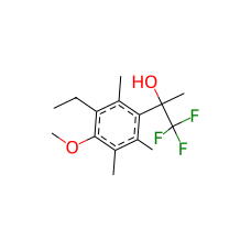 CCc1c(C)c(C(C)(O)C(F)(F)F)c(C)c(C)c1OC